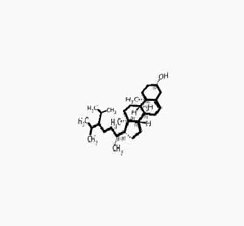 CC(C)C(CC[C@@H](C)[C@H]1CC[C@H]2[C@@H]3CC=C4C[C@@H](O)CC[C@]4(C)[C@H]3CC[C@]12C)C(C)C